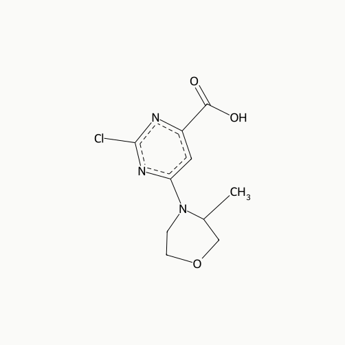 CC1COCCN1c1cc(C(=O)O)nc(Cl)n1